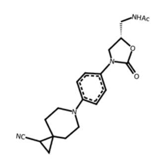 CC(=O)NC[C@H]1CN(c2ccc(N3CCC4(CC3)CC4C#N)cc2)C(=O)O1